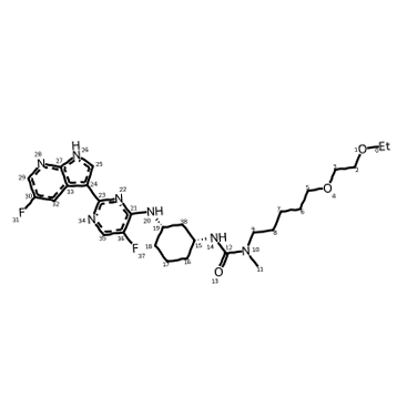 CCOCCOCCCCCN(C)C(=O)N[C@@H]1CCC[C@H](Nc2nc(-c3c[nH]c4ncc(F)cc34)ncc2F)C1